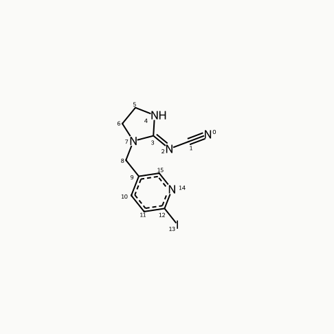 N#C/N=C1\NCCN1Cc1ccc(I)nc1